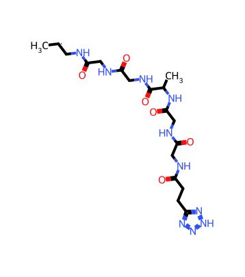 C[CH]CNC(=O)CNC(=O)CNC(=O)C(C)NC(=O)CNC(=O)CNC(=O)CCc1nn[nH]n1